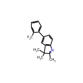 CC1=Nc2ccc(-c3ccccc3C(F)(F)F)cc2C1(C)C